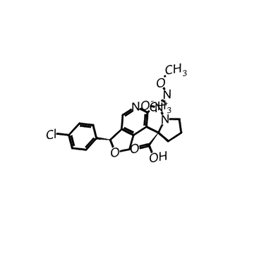 CON=[N+]([O-])N1CCC[C@]1(C(=O)O)c1c(C)ncc2c1CO[C@H]2c1ccc(Cl)cc1